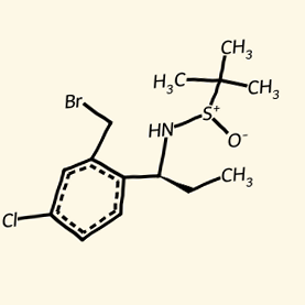 CC[C@H](N[S+]([O-])C(C)(C)C)c1ccc(Cl)cc1CBr